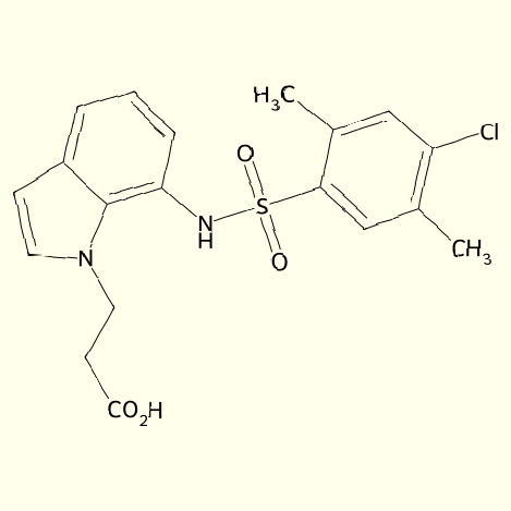 Cc1cc(S(=O)(=O)Nc2cccc3ccn(CCC(=O)O)c23)c(C)cc1Cl